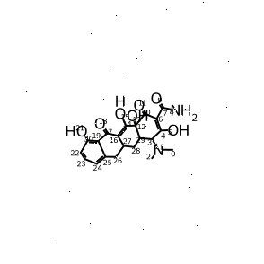 CN(C)C1C(O)=C(C(N)=O)C(=O)C2(O)C(O)=C3C(=O)c4c(O)cccc4CC3CC12